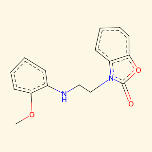 COc1ccccc1NCCn1c(=O)oc2ccccc21